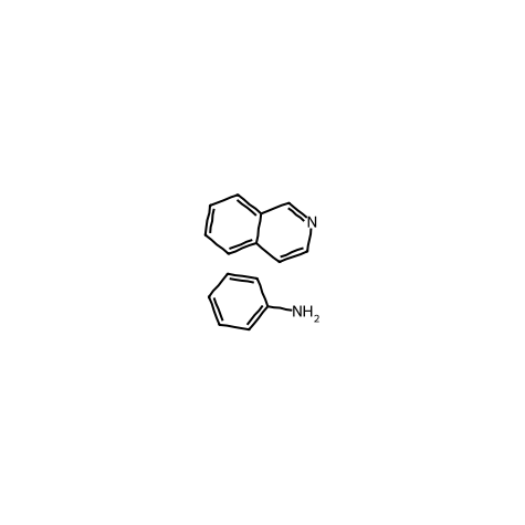 Nc1ccccc1.c1ccc2cnccc2c1